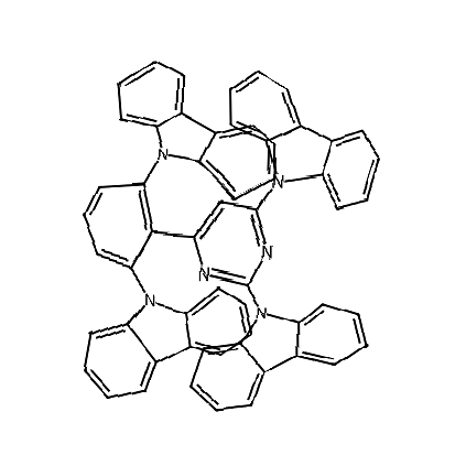 c1cc(-n2c3ccccc3c3ccccc32)c(-c2cc(-n3c4ccccc4c4ccccc43)nc(-n3c4ccccc4c4ccccc43)n2)c(-n2c3ccccc3c3ccccc32)c1